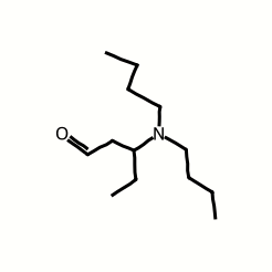 CCCCN(CCCC)C(CC)CC=O